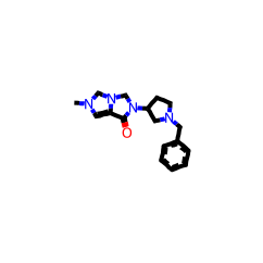 CN1C=C2C(=O)N(C3CCN(Cc4ccccc4)C3)CN2C1